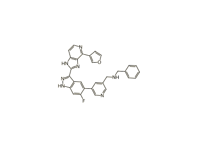 Fc1cc2[nH]nc(-c3nc4c(-c5ccoc5)nccc4[nH]3)c2cc1-c1cncc(CNCc2ccccc2)c1